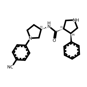 N#Cc1ccc(N2CC[C@H](NC(=O)[C@@H]3CNC[C@H]3c3ccccc3)C2)cc1